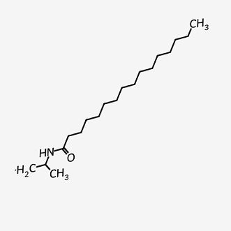 [CH2]C(C)NC(=O)CCCCCCCCCCCCCCC